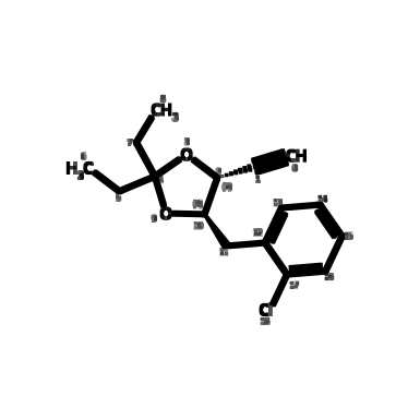 C#C[C@H]1OC(CC)(CC)O[C@@H]1Cc1ccccc1Cl